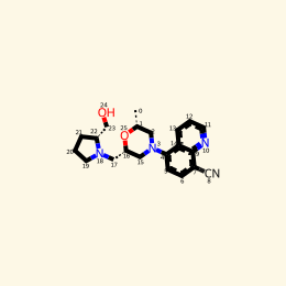 C[C@@H]1CN(c2ccc(C#N)c3ncccc23)C[C@H](CN2CCC[C@@H]2CO)O1